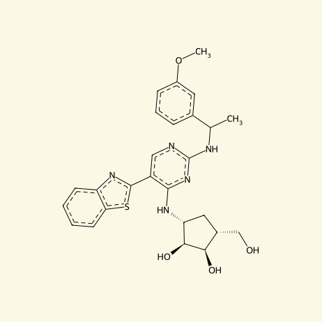 COc1cccc(C(C)Nc2ncc(-c3nc4ccccc4s3)c(N[C@@H]3C[C@H](CO)[C@@H](O)[C@H]3O)n2)c1